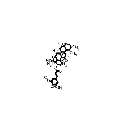 COc1cc(/C=C/C(=O)O[C@@H]2CC[C@@]3(C)C(CC[C@]4(C)C3C(=O)C=C3C5[C@@H](C)[C@H](C)CC[C@]5(C)CC[C@]34C)[C@@]2(C)C(=O)O)cc(O)c1O